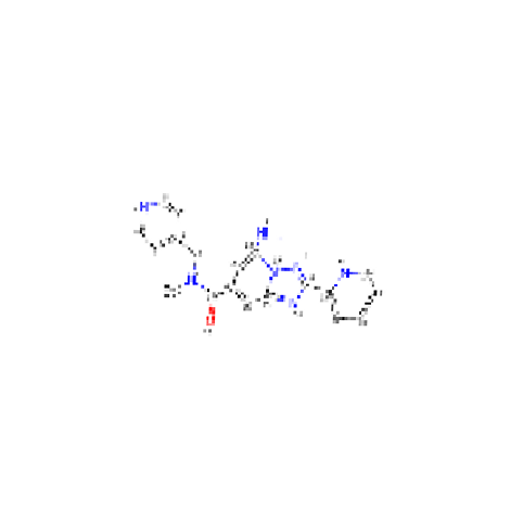 CCN(Cc1ccncc1)C(=O)c1cc(N)n2nc(-c3ccccn3)nc2c1